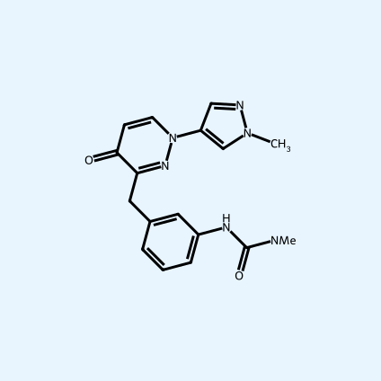 CNC(=O)Nc1cccc(Cc2nn(-c3cnn(C)c3)ccc2=O)c1